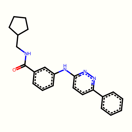 O=C(NCC1CCCC1)c1cccc(Nc2ccc(-c3ccccc3)nn2)c1